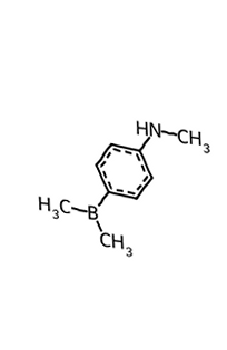 CNc1ccc(B(C)C)cc1